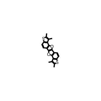 Cc1sc2ccc3c4oc5c(ccc6sc(C)c(C)c65)c4oc3c2c1C